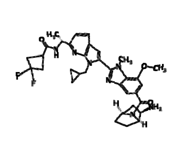 COc1cc(C(=O)N2[C@H]3CC[C@@H]2[C@H](N)C3)cc2nc(-c3cc4ccc([C@@H](C)NC(=O)C5CC(F)(F)C5)nc4n3CC3CC3)n(C)c12